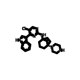 Clc1cnc(NC23CCC[C@](N4CCNCC4)(CC2)C3)nc1-c1c[nH]c2ccccc12